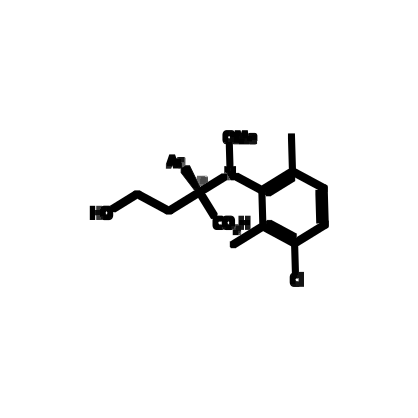 CON(c1c(C)ccc(Cl)c1C)[C@](CCO)(C(C)=O)C(=O)O